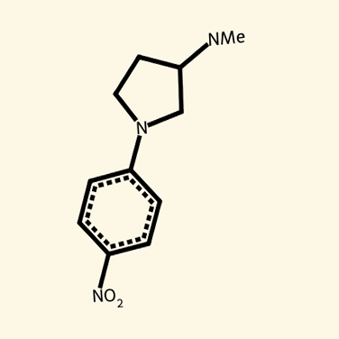 CNC1CCN(c2ccc([N+](=O)[O-])cc2)C1